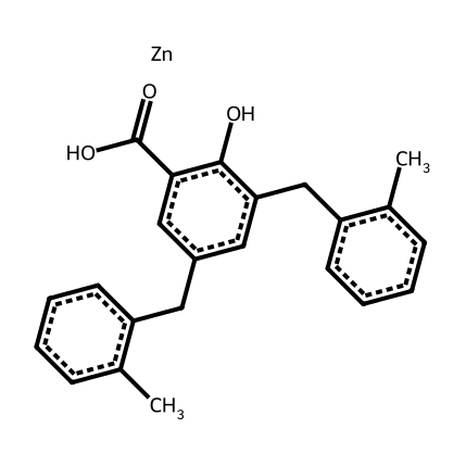 Cc1ccccc1Cc1cc(Cc2ccccc2C)c(O)c(C(=O)O)c1.[Zn]